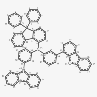 c1ccc(C2(c3ccccc3)c3ccccc3-c3c(N(c4cccc(-c5cccc6c5oc5ccccc56)c4)c4cccc(-n5c6ccccc6c6ccccc65)c4)cccc32)cc1